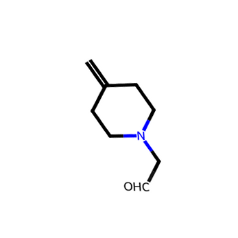 C=C1CCN(CC=O)CC1